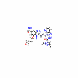 CCn1nc(C)cc1C(=O)Nc1nc2cccnc2n1C/C=C/CNc1c(N)cc(C(N)=O)cc1OCCC1COC1